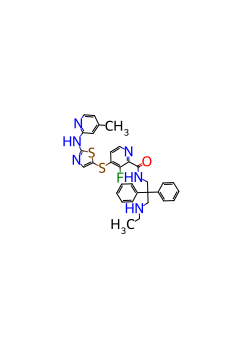 CCNCC(CNC(=O)c1nccc(Sc2cnc(Nc3cc(C)ccn3)s2)c1F)(c1ccccc1)c1ccccc1